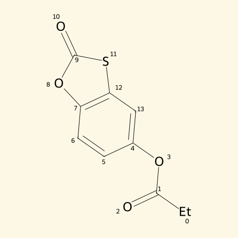 CCC(=O)Oc1ccc2oc(=O)sc2c1